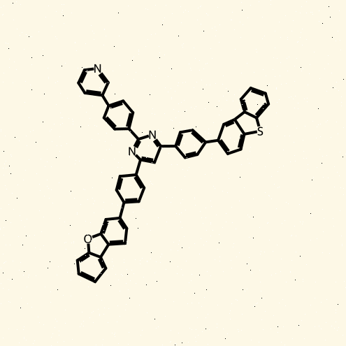 c1cncc(-c2ccc(-c3nc(-c4ccc(-c5ccc6c(c5)oc5ccccc56)cc4)cc(-c4ccc(-c5ccc6sc7ccccc7c6c5)cc4)n3)cc2)c1